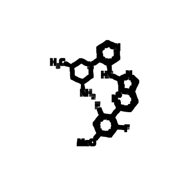 COc1cc(F)c(-c2ccc3cnc(Nc4cnccc4N4C[C@H](C)C[C@H](N)C4)n3n2)c(F)c1